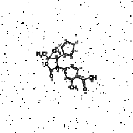 Cc1cc(N2C(=O)OC(C)(C)C2c2ccccc2)ccc1C(=O)O